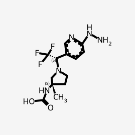 C[C@]1(NC(=O)O)CCN([C@@H](c2ccc(NN)nc2)C(F)(F)F)C1